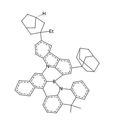 CCC1(c2ccc3c(c2)c2cc(C45CC6CC(CC(C6)C4)C5)cc4c2n3-c2cc3ccccc3c3c2B4N2c4ccccc4C(C)(C)c4cccc-3c42)CC2CC[C@H](C2)C1